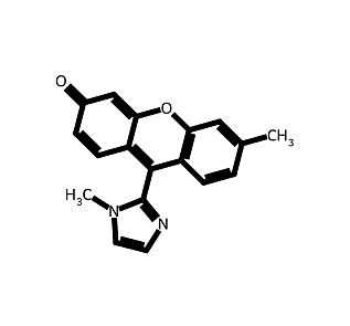 Cc1ccc2c(-c3nccn3C)c3ccc(=O)cc-3oc2c1